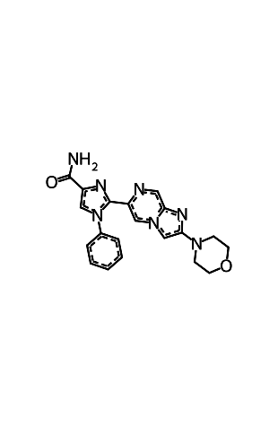 NC(=O)c1cn(-c2ccccc2)c(-c2cn3cc(N4CCOCC4)nc3cn2)n1